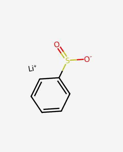 O=S([O-])c1ccccc1.[Li+]